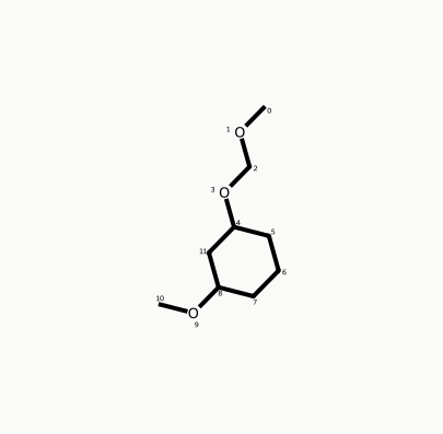 COCOC1CCCC(OC)C1